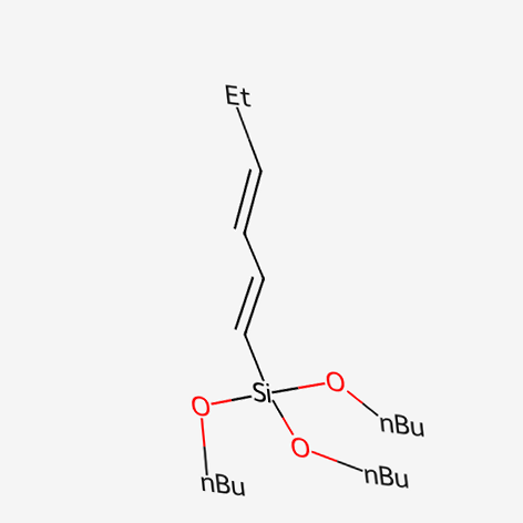 CC/C=C/C=C/[Si](OCCCC)(OCCCC)OCCCC